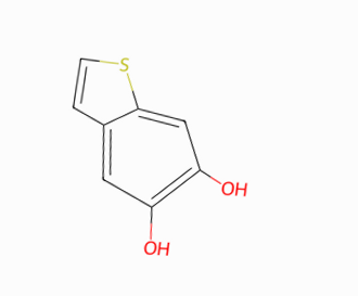 Oc1cc2ccsc2cc1O